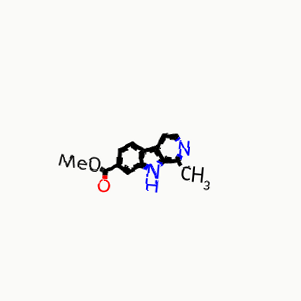 COC(=O)c1ccc2c(c1)[nH]c1c(C)nccc12